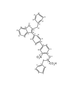 O=C(O)[C@@H](Cc1ccccc1)Oc1ccc(-c2ccc(-c3c(Cc4ccccc4)oc4ccccc34)cc2)cc1[N+](=O)[O-]